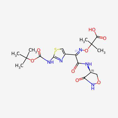 CC(C)(C)OC(=O)Nc1nc(/C(=N/OC(C)(C)C(=O)O)C(=O)N[C@H]2CONC2=O)cs1